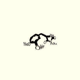 CCCCN1C(=O)NC(=Cc2ccc(OC)c(OC)c2)C1=O